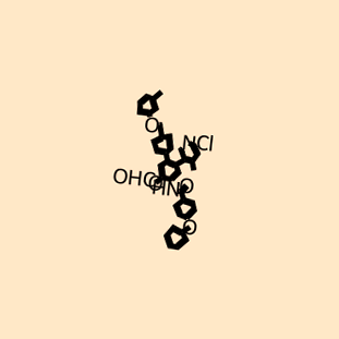 Cc1cccc(OCc2ccc(-c3cc(OC=O)c(NC(=O)c4ccc(Oc5ccccc5)cc4)cc3-c3cnc(Cl)cc3C)cc2)c1